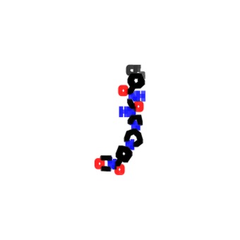 O=C(CNC(=O)c1cccc(C(F)(F)F)c1)N[C@@H]1CCN([C@H]2CCCN(c3ccc(C(=O)N4CCOCC4)cc3)CC2)C1